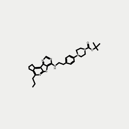 CCCc1nc2sc3c(NCCc4ccc(N5CCN(C(=O)OC(C)(C)C)CC5)cc4)ncnc3c2c2c1CCC2